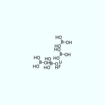 OB(O)O.OB(O)O.OB(O)O.OB(O)O.[Li][F]